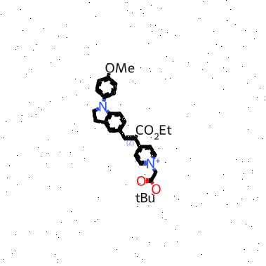 CCOC(=O)/C(=C\c1ccc2c(c1)CCN2c1ccc(OC)cc1)c1cc[n+](CC(=O)OC(C)(C)C)cc1